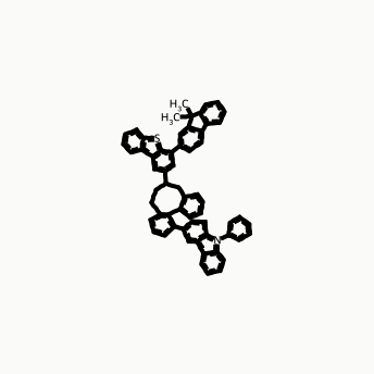 CC1(C)c2ccccc2-c2ccc(-c3cc(C4CCc5cccc(-c6ccc7c(c6)c6ccccc6n7-c6ccccc6)c5-c5ccccc5C4)cc4c3sc3ccccc34)cc21